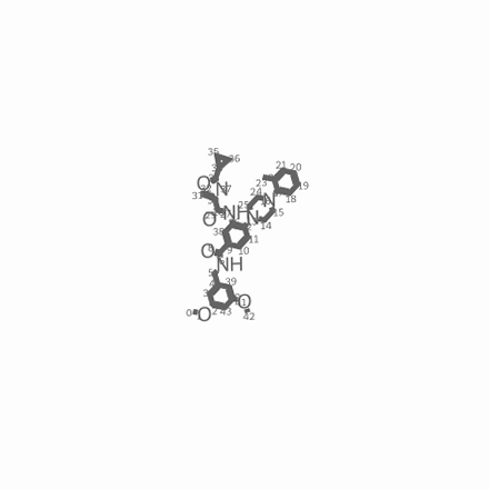 COc1cc(CNC(=O)c2ccc(N3CCN(c4ccccc4C)CC3)c(NC(=O)c3coc(C4CC4)n3)c2)cc(OC)c1